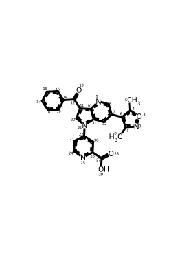 Cc1noc(C)c1-c1cnc2c(C(=O)c3ccccc3)cn(-c3ccnc(C(=O)O)c3)c2c1